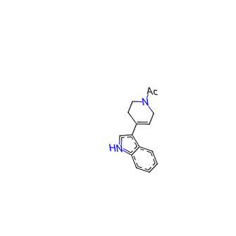 CC(=O)N1CC=C(c2c[nH]c3ccccc23)CC1